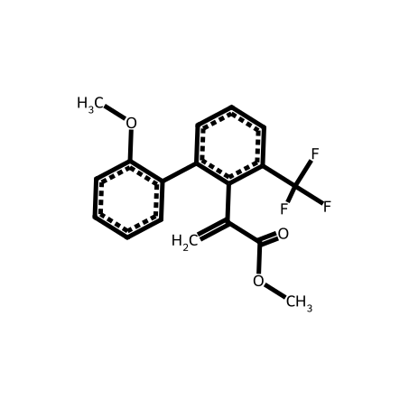 C=C(C(=O)OC)c1c(-c2ccccc2OC)cccc1C(F)(F)F